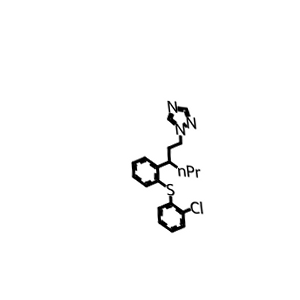 CCCC(CCn1cncn1)c1ccccc1Sc1ccccc1Cl